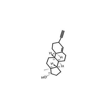 C#CC1C=C2CC[C@@H]3[C@H](CC[C@]4(C)[C@@H](O)CC[C@@H]34)[C@H]2CC1